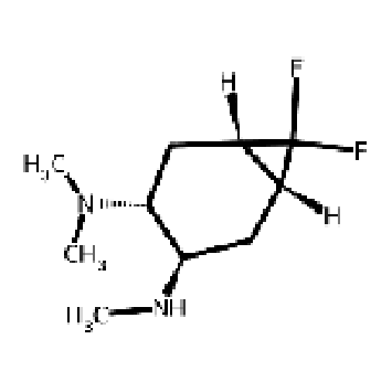 CN[C@@H]1C[C@@H]2[C@H](C[C@H]1N(C)C)C2(F)F